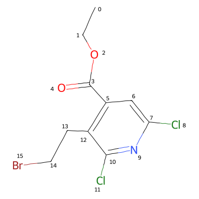 CCOC(=O)c1cc(Cl)nc(Cl)c1CCBr